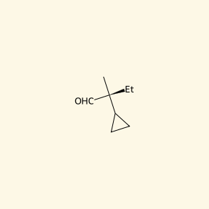 CC[C@](C)(C=O)C1CC1